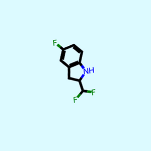 Fc1ccc2c(c1)CC(C(F)F)N2